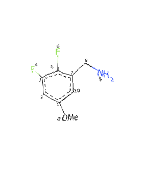 COc1cc(F)c(F)c(CN)c1